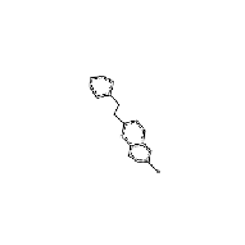 Brc1ccc2nc(CCc3ccccc3)ccc2c1